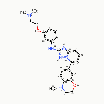 CCN(CC)CCOc1cccc(Nc2nc3cccc(-c4ccc5c(c4)OCCN5C)n3n2)c1